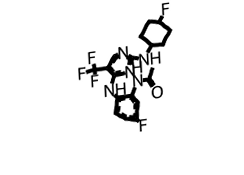 CC(=O)Nc1cc(F)ccc1Nc1nc(NC2CCC(F)CC2)ncc1C(F)(F)F